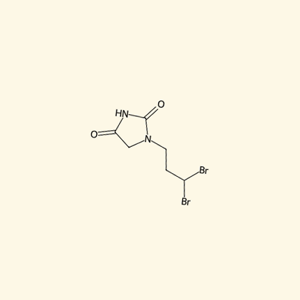 O=C1CN(CCC(Br)Br)C(=O)N1